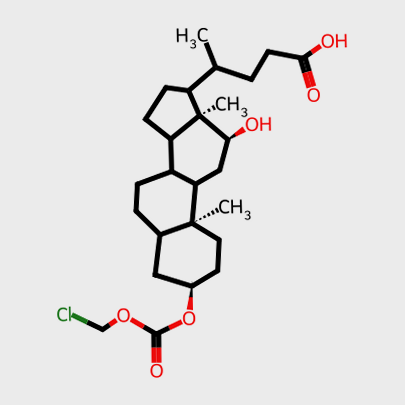 CC(CCC(=O)O)C1CCC2C3CCC4C[C@H](OC(=O)OCCl)CC[C@]4(C)C3C[C@H](O)[C@]12C